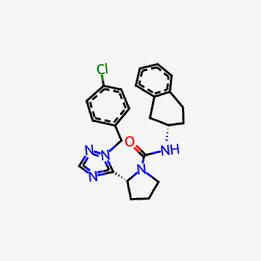 O=C(N[C@H]1CCc2ccccc2C1)N1CCC[C@@H]1c1ncnn1Cc1ccc(Cl)cc1